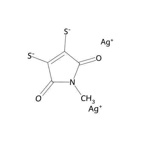 CN1C(=O)C([S-])=C([S-])C1=O.[Ag+].[Ag+]